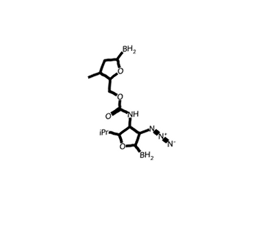 BC1CC(C)C(COC(=O)NC2C(N=[N+]=[N-])C(B)OC2C(C)C)O1